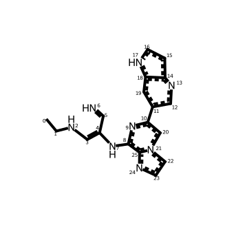 CCN/C=C(\C=N)Nc1nc(-c2cnc3cc[nH]c3c2)cn2ccnc12